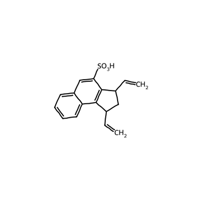 C=CC1CC(C=C)c2c1c(S(=O)(=O)O)cc1ccccc21